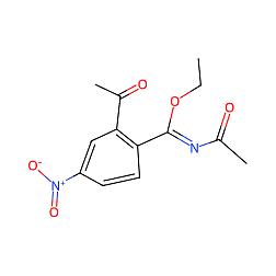 CCOC(=NC(C)=O)c1ccc([N+](=O)[O-])cc1C(C)=O